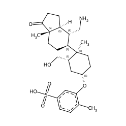 Cc1ccc(S(=O)(=O)O)cc1O[C@H]1CC[C@](C)([C@H]2CC[C@]3(C)C(=O)CC[C@H]3[C@@H]2CN)[C@@H](CO)C1